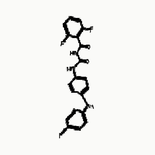 O=C(NC(=O)c1c(F)cccc1F)Nc1ccc(Nc2ccc(F)cc2)cc1